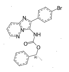 C[C@@H](OC(=O)Nc1c(-c2ccc(Br)cc2)nc2cccnn12)c1ccccc1